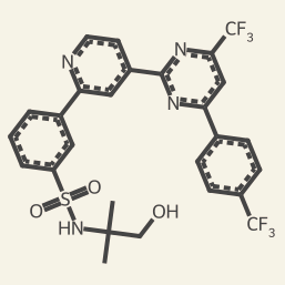 CC(C)(CO)NS(=O)(=O)c1cccc(-c2cc(-c3nc(-c4ccc(C(F)(F)F)cc4)cc(C(F)(F)F)n3)ccn2)c1